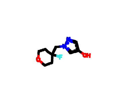 Oc1cnn(CC2(F)CCOCC2)c1